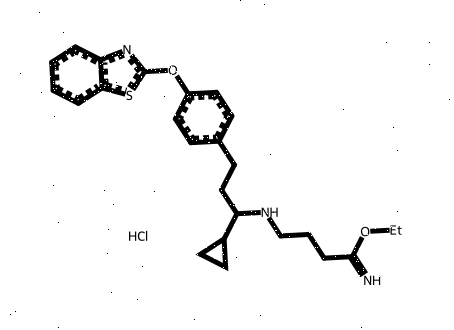 CCOC(=N)CCCNC(CCc1ccc(Oc2nc3ccccc3s2)cc1)C1CC1.Cl